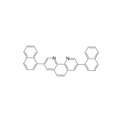 c1ccc2c(-c3cnc4c(ccc5cc(-c6cccc7ccccc67)cnc54)c3)cccc2c1